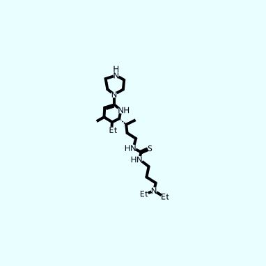 CCC1C(C)C=C(N2CCNCC2)N[C@@H]1C(C)CCNC(=S)NCCCN(CC)CC